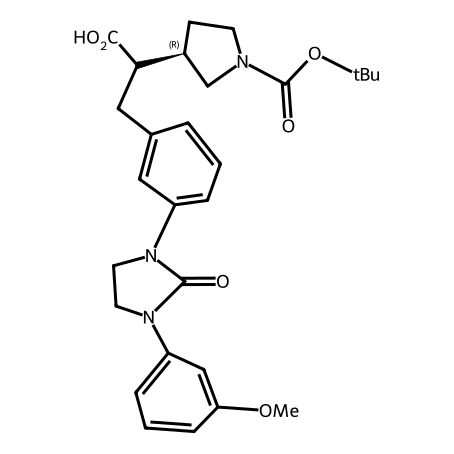 COc1cccc(N2CCN(c3cccc(CC(C(=O)O)[C@H]4CCN(C(=O)OC(C)(C)C)C4)c3)C2=O)c1